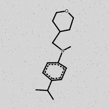 CC(C)c1ccc(N(C)CC2CCOCC2)cc1